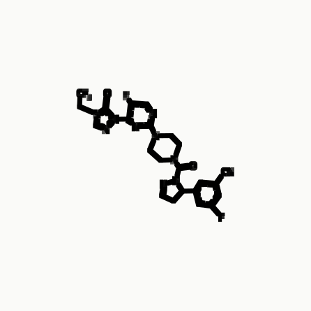 N#Cc1cc(F)cc(C2CC=NN2C(=O)N2CCN(c3ncc(F)c(-n4ncn(CC(F)(F)F)c4=O)n3)CC2)c1